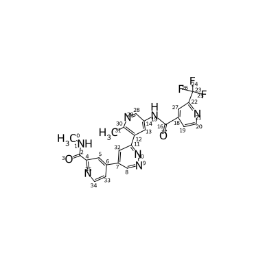 CNC(=O)c1cc(-c2cnnc(-c3cc(NC(=O)c4ccnc(C(F)(F)F)c4)cnc3C)c2)ccn1